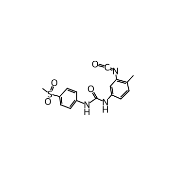 Cc1ccc(NC(=O)Nc2ccc(S(C)(=O)=O)cc2)cc1N=C=O